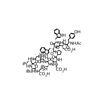 CC[C@H](C)[C@H](NC(=O)[C@H](CC(C)C)NC(=O)[C@H](C)NC(=O)[C@H](CS)NC(=O)[C@H](CC(C)C)NC(=O)[C@H](CCC(=O)O)NC(=O)[C@@H]1CCCN1C(=O)[C@H](Cc1c[nH]c2ccccc12)NC(=O)[C@H](Cc1c[nH]c2ccccc12)NC(=O)[C@H](CC(=O)O)NC(=O)[C@H](Cc1ccc(O)cc1)NC(C)=O)C(=O)N[C@@H](CS)C(=O)O